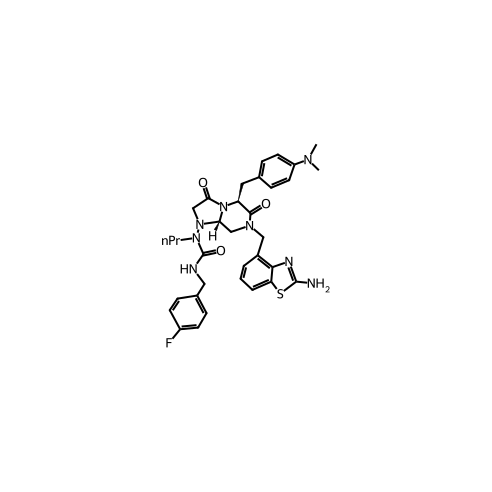 CCCN(C(=O)NCc1ccc(F)cc1)N1CC(=O)N2[C@@H](Cc3ccc(N(C)C)cc3)C(=O)N(Cc3cccc4sc(N)nc34)C[C@@H]21